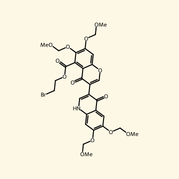 COCOc1cc2[nH]cc(-c3coc4cc(OCOC)c(OCOC)c(C(=O)OCCBr)c4c3=O)c(=O)c2cc1OCOC